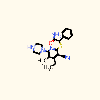 CCc1c(C)c(N2CCNCC2)nc(SC(C(N)=O)c2ccccc2)c1C#N